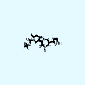 CC1Cc2nn3c(c2CN1C(=O)OC(C)(C)C)C(=O)N(C)CC(c1cc[nH]n1)C3